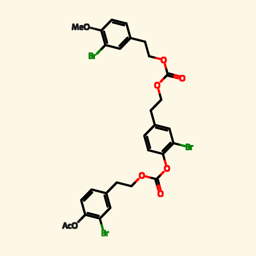 COc1ccc(CCOC(=O)OCCc2ccc(OC(=O)OCCc3ccc(OC(C)=O)c(Br)c3)c(Br)c2)cc1Br